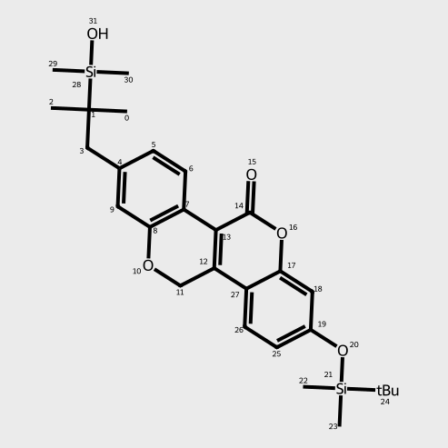 CC(C)(Cc1ccc2c(c1)OCc1c-2c(=O)oc2cc(O[Si](C)(C)C(C)(C)C)ccc12)[Si](C)(C)O